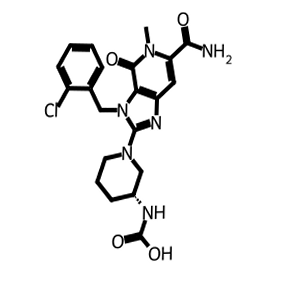 Cn1c(C(N)=O)cc2nc(N3CCC[C@@H](NC(=O)O)C3)n(Cc3ccccc3Cl)c2c1=O